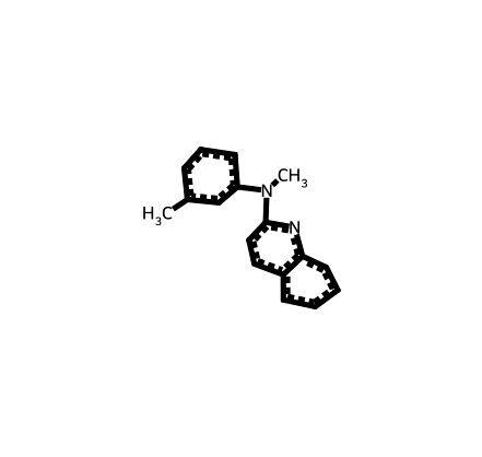 Cc1cccc(N(C)c2ccc3ccccc3n2)c1